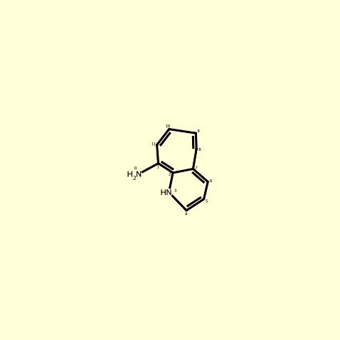 NC1=C2NC=CC=C2C=CC=C1